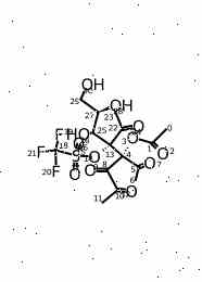 CC(=O)O[C@](C(C)=O)(C(=O)C(C)=O)[C@](OS(=O)(=O)C(F)(F)F)(C(C)=O)[C@H](O)[C@H](O)CO